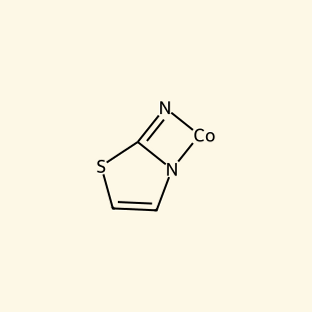 C1=C[N]2[Co][N]=C2S1